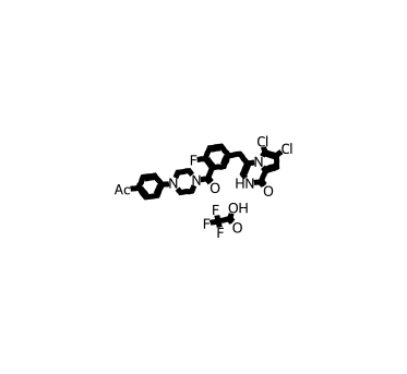 CC(=O)c1ccc(N2CCN(C(=O)c3cc(Cc4c[nH]c(=O)c5cc(Cl)c(Cl)n45)ccc3F)CC2)cc1.O=C(O)C(F)(F)F